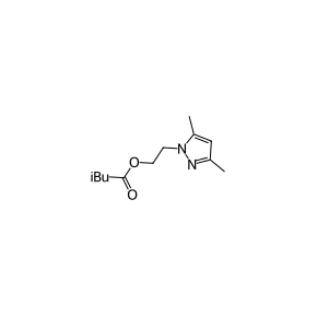 CCC(C)C(=O)OCCn1nc(C)cc1C